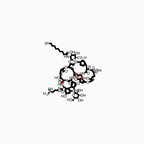 CN[C@H]1C(=O)N[C@@H]2Cc3ccc(cc3)Oc3cc4cc(c3O[C@@H]3O[C@H](C(=O)O)[C@@H](O)[C@H](O)[C@H]3NC(=O)CCCCCCCCC(C)C)Oc3ccc(cc3Cl)[C@@H](O)[C@@H]3NC(=O)C(NC(=O)[C@@H]4NC(=O)[C@@H](NC2=O)c2cc(cc(O)c2Cl)Oc2ccc1cc2O)c1ccc(O)c(c1)-c1c(O[C@H]2O[C@H](CO)[C@@H](O)[C@H](O)[C@@H]2O)cc(O)cc1[C@@H](C(=O)NCCCN(C)C)NC3=O